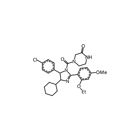 CCOc1cc(OC)ccc1C1=NC(C2CCCCC2)C(c2ccc(Cl)cc2)N1C(=O)N1CCNC(=O)C1